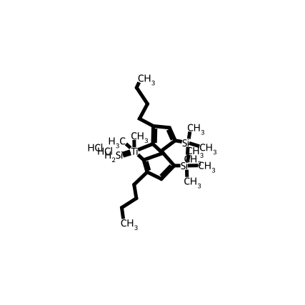 CCCCC1=[C]([Ti]([CH3])([CH3])(=[SiH2])[C]2=C(CCCC)C=C([Si](C)(C)C)C2)CC([Si](C)(C)C)=C1.Cl.Cl